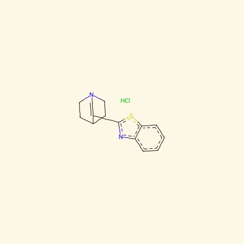 C1=C(c2nc3ccccc3s2)C2CCN1CC2.Cl